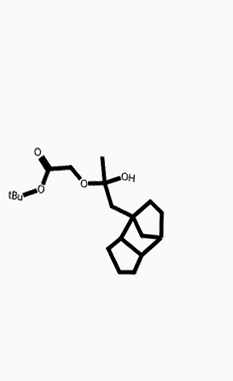 CC(C)(C)OC(=O)COC(C)(O)CC12CCC(C1)C1CCCC12